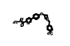 CCNC(=O)c1ccc(-c2ccc(OC3CN(Cc4ccc(C(F)(F)F)cc4)C3)cc2)cn1